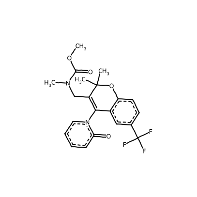 COC(=O)N(C)CC1=C(n2ccccc2=O)c2cc(C(F)(F)F)ccc2OC1(C)C